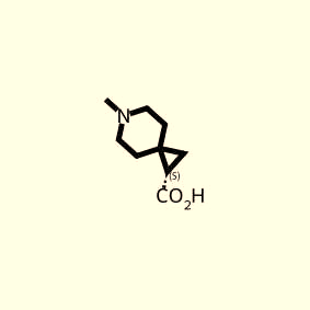 CN1CCC2(CC1)C[C@@H]2C(=O)O